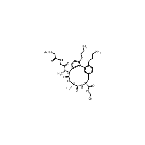 CC(=O)NCC(=O)NCC(=O)N(C)[C@@H]1C(=O)N[C@@H](C)C(=O)N[C@H](C(=O)NCC#N)Cc2ccc(OCCN)c(c2)-c2cc1ccc2OCCN